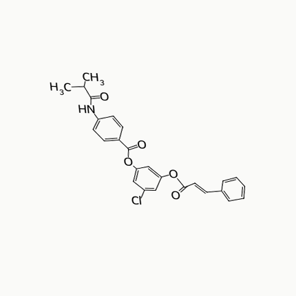 CC(C)C(=O)Nc1ccc(C(=O)Oc2cc(Cl)cc(OC(=O)/C=C/c3ccccc3)c2)cc1